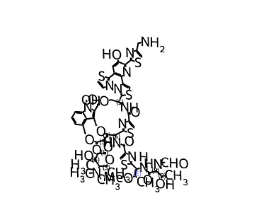 CO/C(C)=C(/NC(=O)[C@@H](NC=O)[C@@H](C)O)c1nc(C(=O)N[C@@H]2c3nc(cs3)C(=O)N[C@H](c3nc(-c4nc(-c5nc(CN)cs5)c(O)cc4-c4nccs4)cs3)COC(=O)c3c4c5c(cccc5n3O)COC(=O)[C@@H](O[C@H]3C[C@](C)(O)C(N(C)C)[C@H](C)O3)[C@H]2OC4)cs1